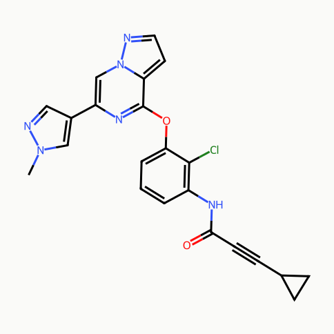 Cn1cc(-c2cn3nccc3c(Oc3cccc(NC(=O)C#CC4CC4)c3Cl)n2)cn1